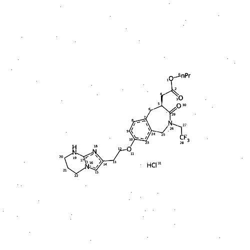 CCCOC(=O)C[C@@H]1Cc2ccc(OCCc3cn4c(n3)NCCC4)cc2CN(CC(F)(F)F)C1=O.Cl